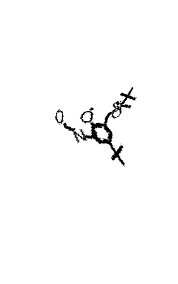 COc1c(CO[Si](C)(C)C(C)(C)C)cc(C(C)(C)C)cc1N=CC=O